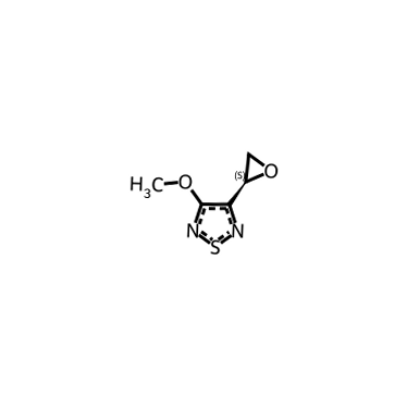 COc1nsnc1[C@H]1CO1